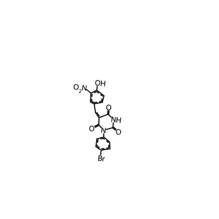 O=C1NC(=O)N(c2ccc(Br)cc2)C(=O)C1=Cc1ccc(O)c([N+](=O)[O-])c1